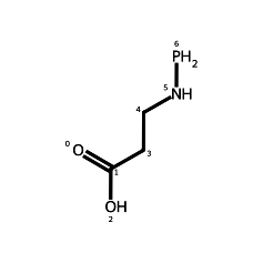 O=C(O)CCNP